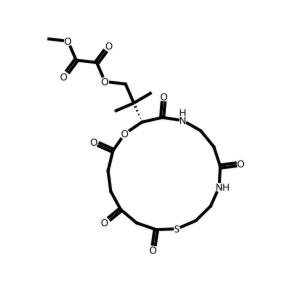 COC(=O)C(=O)OCC(C)(C)[C@H]1OC(=O)CCC(=O)CC(=O)SCCNC(=O)CCNC1=O